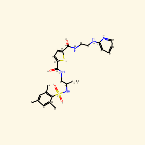 Cc1cc(C)c(S(=O)(=O)NC(CNC(=O)c2ccc(C(=O)NCCNc3ccccn3)s2)C(=O)O)c(C)c1